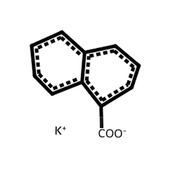 O=C([O-])c1cccc2ccccc12.[K+]